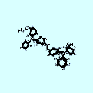 Cc1cccc(N(c2ccccc2)c2ccc(/C=C/c3ccc(N(c4ccccc4)c4cccc(C)c4)cc3)cc2)c1